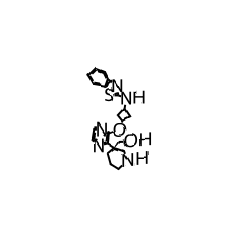 OC[C@]1(c2nccnc2OC2CC(Nc3nc4ccccc4s3)C2)CCCNC1